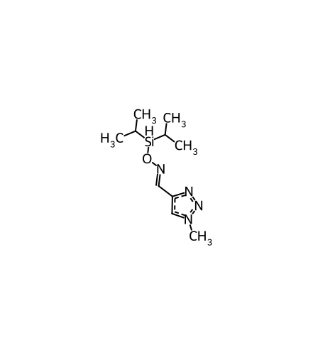 CC(C)[SiH](ON=Cc1cn(C)nn1)C(C)C